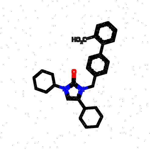 O=C(O)c1ccccc1-c1ccc(Cn2c(C3CCCCC3)cn(C3CCCCC3)c2=O)cc1